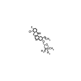 COc1cc2c(Nc3ccc(F)c(Cl)c3F)ncnc2cc1OCC1CN(C)C(C)(C)CO1